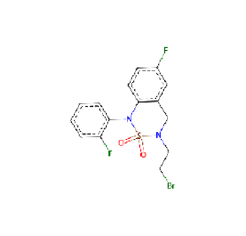 O=S1(=O)N(CCBr)Cc2cc(F)ccc2N1c1ccccc1F